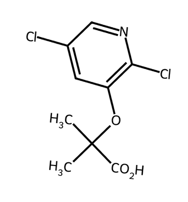 CC(C)(Oc1cc(Cl)cnc1Cl)C(=O)O